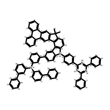 CC1(C)c2cc3c4ccccc4c4ccccc4c3cc2-c2c1ccc1c2c2cc(-c3cccc(N(c4cccc(-c5ccccc5)c4)c4cccc(-c5ccccc5)c4)c3)ccc2n1-c1ccc(-c2nc(-c3ccccc3)nc(-c3ccccc3)n2)cc1